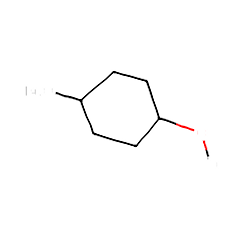 CCOC1CCC(OCC(C)C)CC1